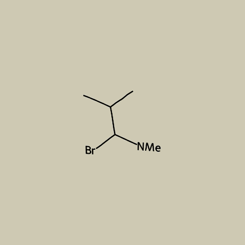 CNC(Br)C(C)C